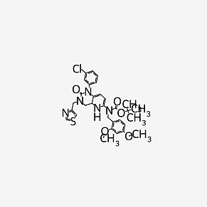 COc1ccc(CN(C(=O)OC(C)(C)C)C2=CC=C3C(CN(Cc4cscn4)C(=O)N3c3cccc(Cl)c3)N2)c(OC)c1